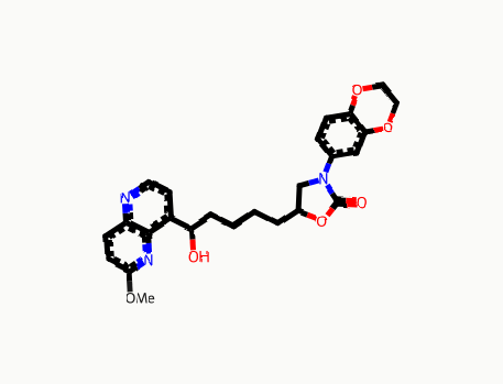 COc1ccc2nccc(C(O)CCCCC3CN(c4ccc5c(c4)OCCO5)C(=O)O3)c2n1